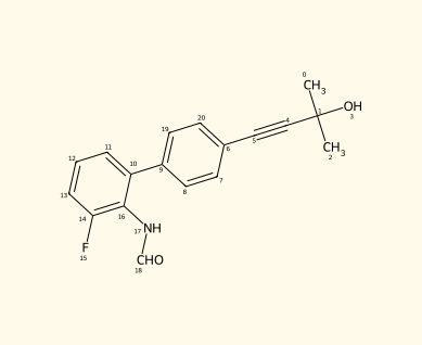 CC(C)(O)C#Cc1ccc(-c2cccc(F)c2NC=O)cc1